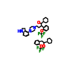 O=C(C1CCCCC1)C(CCN1CCN(c2cccc3[nH]ccc23)CC1)c1ccccc1OC(F)(F)F.O=C(Cc1ccccc1OC(F)(F)F)C1CCCCC1